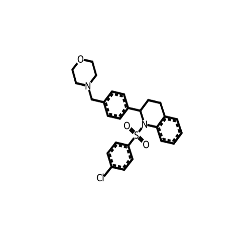 O=S(=O)(c1ccc(Cl)cc1)N1c2ccccc2CCC1c1ccc(CN2CCOCC2)cc1